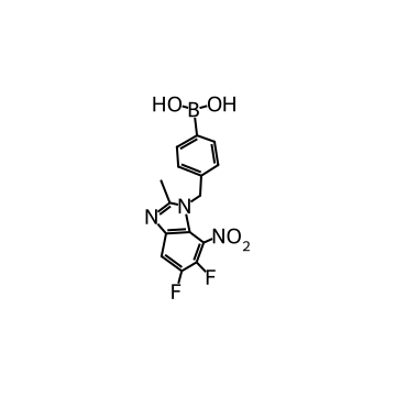 Cc1nc2cc(F)c(F)c([N+](=O)[O-])c2n1Cc1ccc(B(O)O)cc1